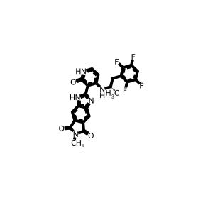 C[C@@H](Cc1c(F)c(F)cc(F)c1F)Nc1cc[nH]c(=O)c1-c1nc2cc3c(cc2[nH]1)C(=O)N(C)C3=O